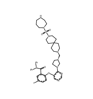 CC(C)N(C(=O)c1cc(F)ccc1Oc1cncnc1N1CC[C@@H](CN2CCC3(CC2)CCN(S(=O)(=O)N2CCCNCC2)CC3)C1)C(C)C